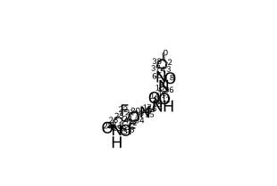 Cc1ccc(N(C)C(=O)N2CC(OC(=O)NC3CN(c4cc(F)c(C5CCC(=O)NC5=O)c(F)c4)C3)C2)cc1